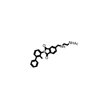 CC(=O)NCCNCc1ccc2c(c1)C(=O)N(c1cccc(-c3ccccc3)c1C)C2=O